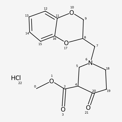 COC(=O)C1CN(CC2COc3ccccc3O2)CCC1=O.Cl